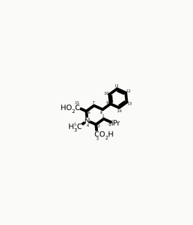 CC(C)CC(C(=O)O)N(C)C(CCc1ccccc1)C(=O)O